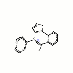 C/C(=N\c1ccccc1)c1ccccc1C1=CC=CC1